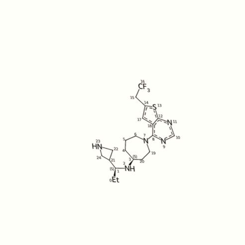 CC[C@H](N[C@H]1CCCN(c2ncnc3sc(CC(F)(F)F)cc23)CC1)C1CNC1